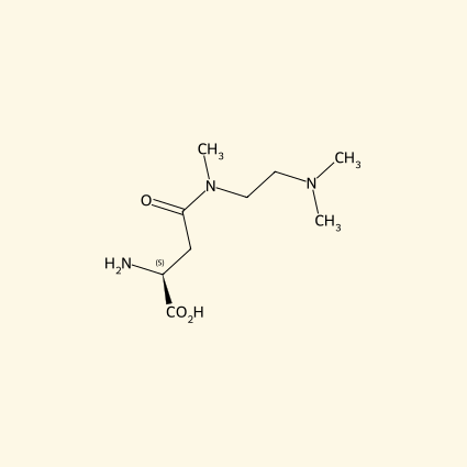 CN(C)CCN(C)C(=O)C[C@H](N)C(=O)O